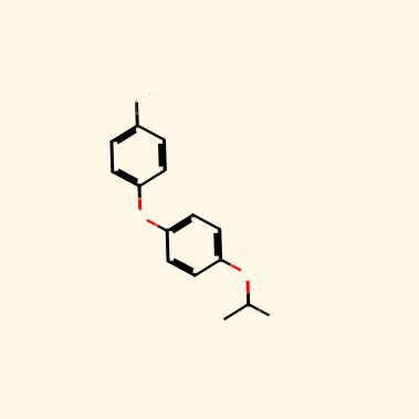 CCOC(=O)C(C)Oc1ccc(Oc2ccc(SC)cc2)cc1